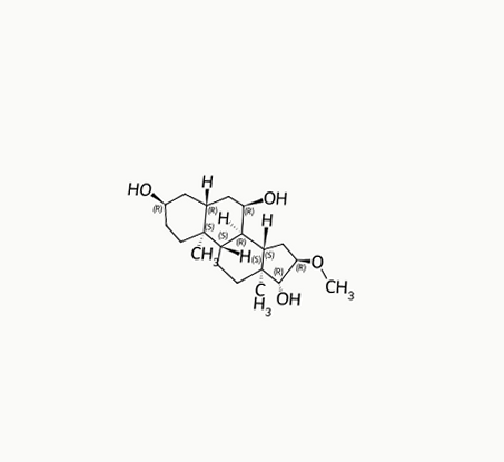 CO[C@@H]1C[C@H]2[C@@H]3[C@H](O)C[C@H]4C[C@H](O)CC[C@]4(C)[C@H]3CC[C@]2(C)[C@H]1O